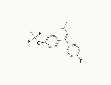 CC(C)C=C(c1ccc(F)cc1)c1ccc(OC(F)(F)F)cc1